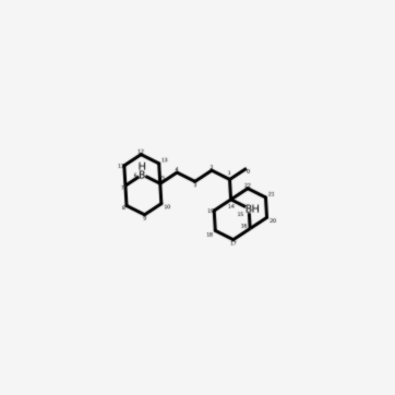 CC(CCCC12BC(CCC1)CCC2)C12BC(CCC1)CCC2